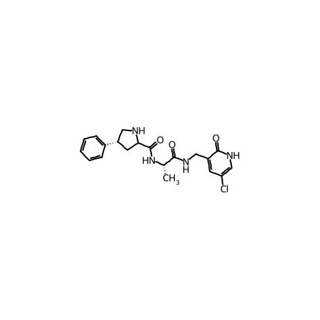 C[C@H](NC(=O)C1C[C@H](c2ccccc2)CN1)C(=O)NCc1cc(Cl)c[nH]c1=O